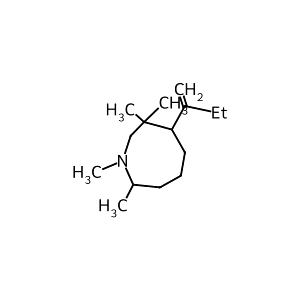 C=C(CC)C1CCCC(C)N(C)CC1(C)C